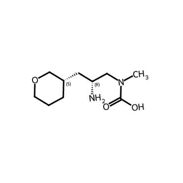 CN(C[C@H](N)C[C@@H]1CCCOC1)C(=O)O